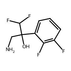 NCC(O)(c1cccc(F)c1F)C(F)F